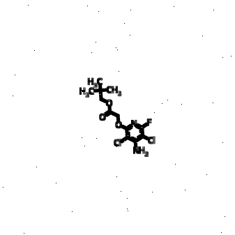 CC(C)(C)COC(=O)COc1nc(F)c(Cl)c(N)c1Cl